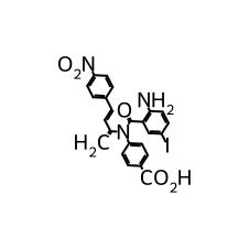 C=C(/C=C/c1ccc([N+](=O)[O-])cc1)N(C(=O)c1cc(I)ccc1N)c1ccc(C(=O)O)cc1